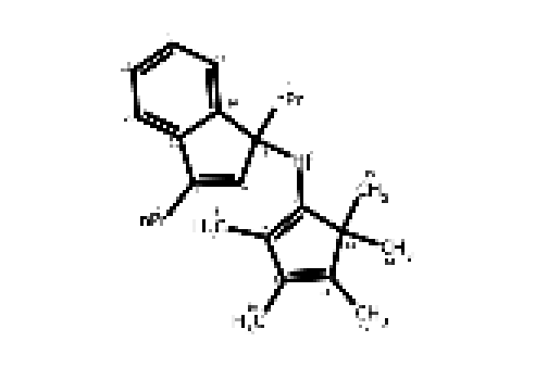 CCCC1=C[C](CCC)([Hf][C]2=C(C)C(C)=C(C)C2(C)C)c2ccccc21